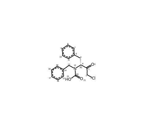 O=C(CCl)[C@@H](Cc1ccccc1)N(Cc1ccccc1)C(=O)O